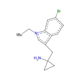 CC(C)(C)Cn1cc(CC2(N)CC2)c2ccc(Br)cc21